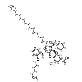 CCCCCCCCCCCCCCCCCCN1C(C(Oc2c(Cl)cc(C(=O)O)cc2Cl)C(=O)Nc2ccccc2OCCCCCC)=Nc2ccccc2S1(=O)=O